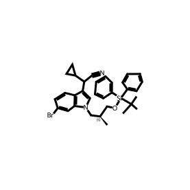 C[C@H](CO[Si](c1ccccc1)(c1ccccc1)C(C)(C)C)Cn1cc(C(C#N)C2CC2)c2ccc(Br)cc21